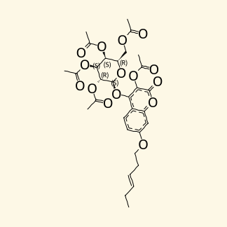 CCC=CCCOc1ccc2c(O[C@@H]3O[C@H](COC(C)=O)[C@H](OC(C)=O)[C@H](OC(C)=O)[C@H]3OC(C)=O)c(OC(C)=O)c(=O)oc2c1